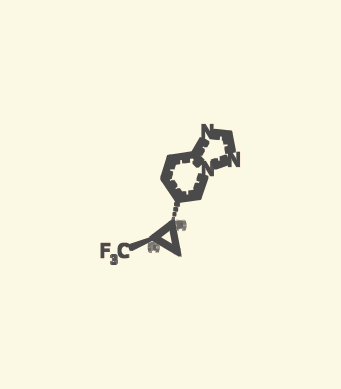 FC(F)(F)[C@@H]1C[C@H]1c1ccc2ncnn2c1